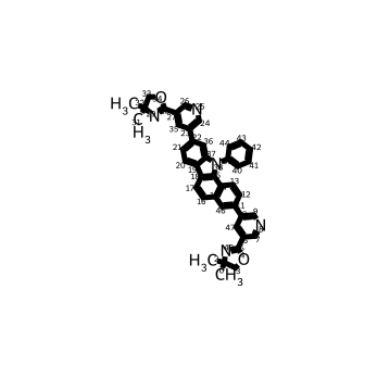 CC1(C)COC(c2cncc(-c3ccc4c(ccc5c6ccc(-c7cncc(C8=NC(C)(C)CO8)c7)cc6n(-c6ccccc6)c45)c3)c2)=N1